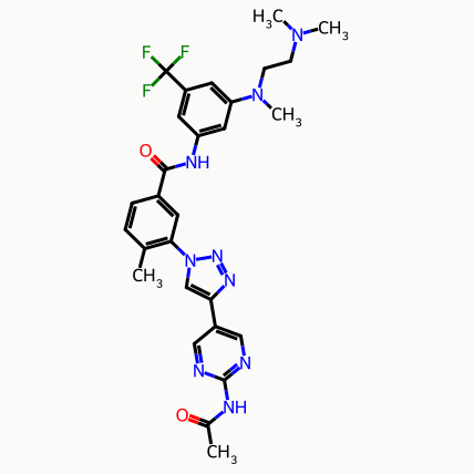 CC(=O)Nc1ncc(-c2cn(-c3cc(C(=O)Nc4cc(N(C)CCN(C)C)cc(C(F)(F)F)c4)ccc3C)nn2)cn1